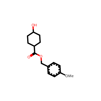 COc1ccc(COC(=O)C2CCC(O)CC2)cc1